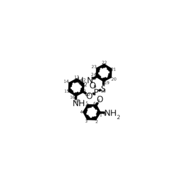 Nc1ccccc1OP(=O)(Oc1ccccc1N)Sc1ccccc1N